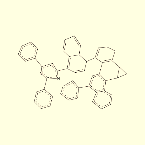 C1=CC2=C(c3cc(-c4ccccc4)nc(-c4ccccc4)n3)C=CC(C3=CCCC4=C3c3cc(-c5ccccc5)c5ccccc5c3C3CC43)C2C=C1